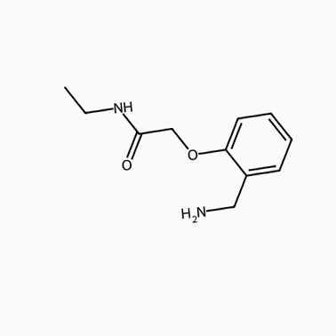 CCNC(=O)COc1ccccc1CN